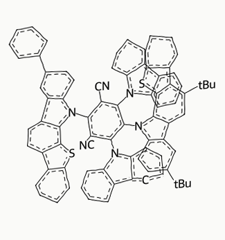 CC(C)(C)c1ccc2c(c1)c1cc(C(C)(C)C)c3c4ccccc4sc3c1n2-c1c(-n2c3ccccc3c3ccccc32)c(C#N)c(-n2c3ccc(-c4ccccc4)cc3c3ccc4c5ccccc5sc4c32)c(C#N)c1-n1c2ccccc2c2ccccc21